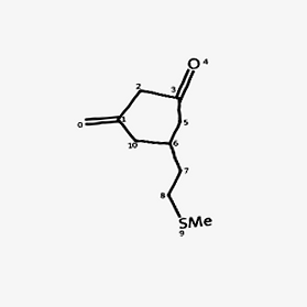 C=C1CC(=O)CC(CCSC)C1